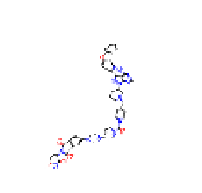 Nc1ncnc2c1c(-c1ccc(Oc3ccccc3)cc1)nn2C1CCCN(CC2CCN(C(=O)N3CCC(N4CCN(c5ccc6c(c5)C(=O)N(C5CCC(=O)NC5=O)C6=O)CC4)CC3)CC2)C1